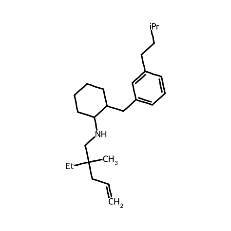 C=CCC(C)(CC)CNC1CCCCC1Cc1cccc(CCC(C)C)c1